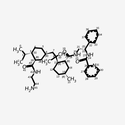 CC(C)[C@@H]1CC[C@@H](CC(C)(C)[C@@H]2CC[C@@H](C)C[C@H]2C(=O)NC[C@@H](NC(=O)c2ccccn2)c2ccccc2)C[C@H]1C(=O)NCCN